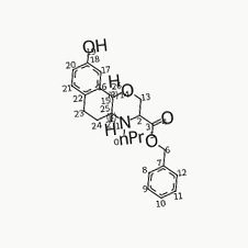 CCCN1C(C(=O)OCc2ccccc2)CO[C@@H]2c3cc(O)ccc3CC[C@H]21